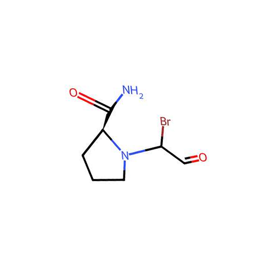 NC(=O)[C@@H]1CCCN1C(Br)C=O